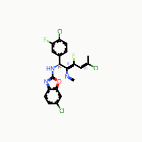 C=N/C(=C(F)\C=C(/C)Cl)[C@@H](Nc1nc2ccc(Cl)cc2o1)c1ccc(Cl)c(F)c1